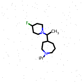 CC(C)N1CCCC(C(C)N2CCC(F)CC2)CC1